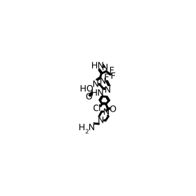 NCCN1CCN(C(=O)c2ccc(Nc3nccn4c(-c5c[nH]nc5C(F)(F)F)cnc34)cc2Cl)CC1.O=CO